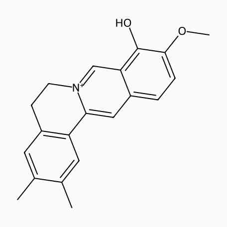 COc1ccc2cc3[n+](cc2c1O)CCc1cc(C)c(C)cc1-3